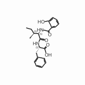 CC[C@H](C)[C@H](NC(=O)c1ccccc1O)C(=O)N[C@@H](Cc1ccccc1)C(=O)O